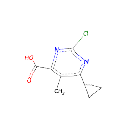 Cc1c(C(=O)O)nc(Cl)nc1C1CC1